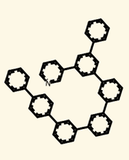 c1ccc(-c2ccc(-c3cccc(-c4cccc(-c5cccc(-c6cc(-c7ccccc7)cc(-c7cccnc7)c6)c5)c4)c3)cc2)cc1